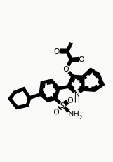 CC(=O)C(=O)Oc1c(-c2ccc(C3CCCCC3)cc2S(N)(=O)=O)[nH]c2ccccc12